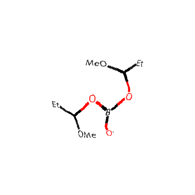 CCC(OC)OB([O])OC(CC)OC